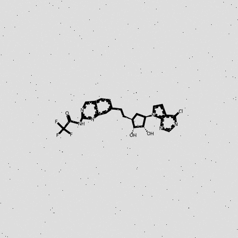 O=C(Nc1ncc2ccc(CC[C@H]3C[C@@H](n4ccc5c(Cl)ncnc54)[C@H](O)[C@@H]3O)cc2n1)C(F)(F)F